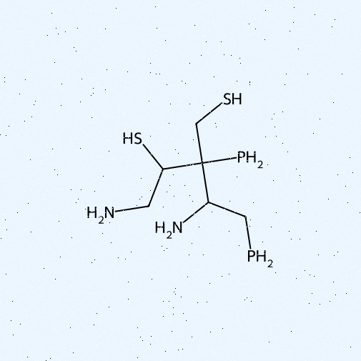 NCC(S)C(P)(CS)C(N)CP